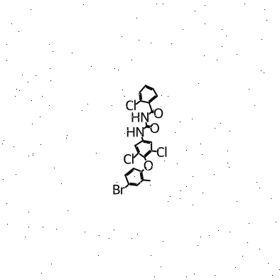 Cc1cc(Br)ccc1Oc1c(Cl)cc(NC(=O)NC(=O)c2ccccc2Cl)cc1Cl